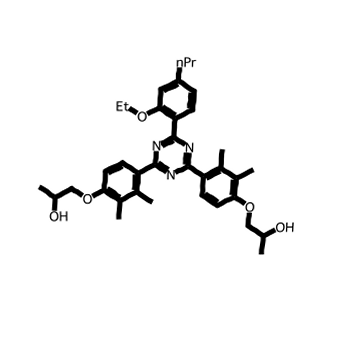 CCCc1ccc(-c2nc(-c3ccc(OCC(C)O)c(C)c3C)nc(-c3ccc(OCC(C)O)c(C)c3C)n2)c(OCC)c1